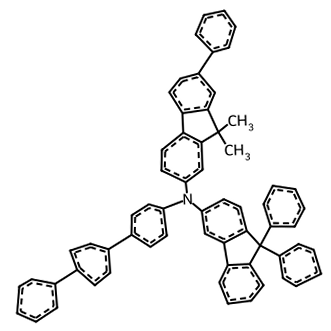 CC1(C)c2cc(-c3ccccc3)ccc2-c2ccc(N(c3ccc(-c4ccc(-c5ccccc5)cc4)cc3)c3ccc4c(c3)-c3ccccc3C4(c3ccccc3)c3ccccc3)cc21